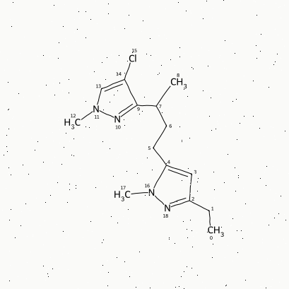 CCc1cc(CCC(C)c2nn(C)cc2Cl)n(C)n1